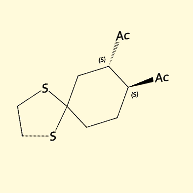 CC(=O)[C@H]1CCC2(C[C@@H]1C(C)=O)SCCS2